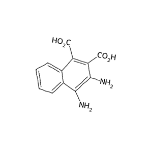 Nc1c(C(=O)O)c(C(=O)O)c2ccccc2c1N